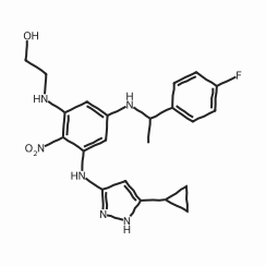 CC(Nc1cc(NCCO)c([N+](=O)[O-])c(Nc2cc(C3CC3)[nH]n2)c1)c1ccc(F)cc1